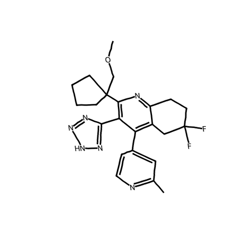 COCC1(c2nc3c(c(-c4ccnc(C)c4)c2-c2nn[nH]n2)CC(F)(F)CC3)CCCC1